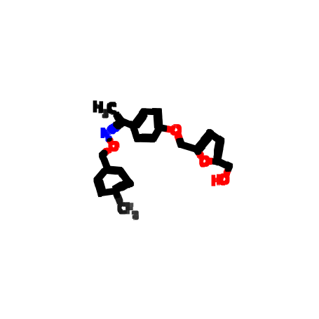 CC(=NOCc1ccc(C(F)(F)F)cc1)c1ccc(OCc2ccc(CO)o2)cc1